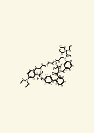 CCN(CC)c1ccc(CCCOCCOCCOC(C)[N+](CC)(CC)CC)c(C(=O)Nc2ccc(-c3ncccc3C(=O)N(Cc3ccccc3)C(F)(F)F)cc2)c1